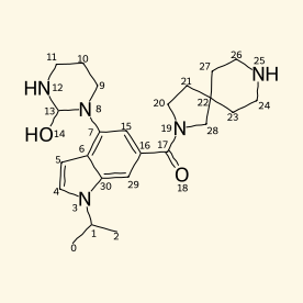 CC(C)n1ccc2c(N3CCCNC3O)cc(C(=O)N3CCC4(CCNCC4)C3)cc21